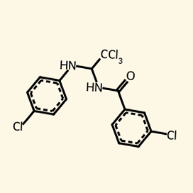 O=C(NC(Nc1ccc(Cl)cc1)C(Cl)(Cl)Cl)c1cccc(Cl)c1